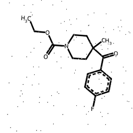 CCOC(=O)N1CCC(C)(C(=O)c2ccc(F)cc2)CC1